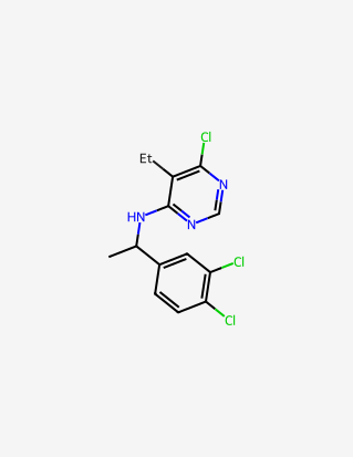 CCc1c(Cl)ncnc1NC(C)c1ccc(Cl)c(Cl)c1